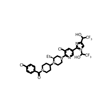 CC[C@H]1CN(c2ncc(-c3nc(C(O)C(F)(F)F)cn3C(O)C(F)(F)F)cc2Cl)CCN1C1CCN(C(=O)c2ccc(Cl)cc2)CC1